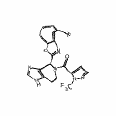 O=C(c1ccnn1C(F)(F)F)N1CCc2[nH]cnc2[C@H]1c1nc2c(F)cccc2o1